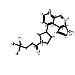 O=C(CCC(F)(F)F)N1CCC(c2ccnc3cnc4[nH]ccc4c23)C1